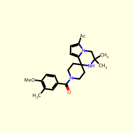 COc1ccc(C(=O)N2CCC3(CC2)NC(C)(C)Cn2c(C(C)=O)ccc23)cc1C